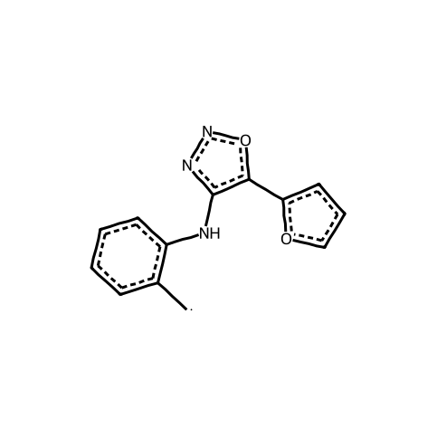 [CH2]c1ccccc1Nc1nnoc1-c1ccco1